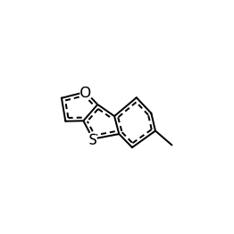 Cc1ccc2c(c1)sc1ccoc12